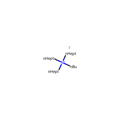 CCCCCCC[N+](CCCC)(CCCCCCC)CCCCCCC.[I-]